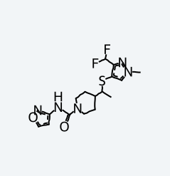 CC(Sc1cn(C)nc1C(F)F)C1CCN(C(=O)Nc2ccon2)CC1